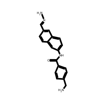 NCc1ccc(C(=O)Nc2ccc3cc(C=NN)ccc3c2)cc1